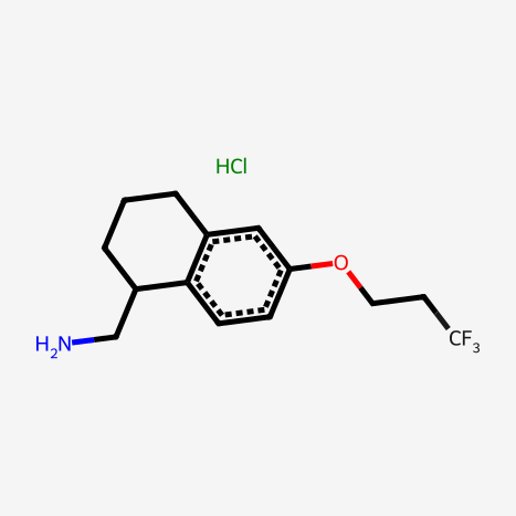 Cl.NCC1CCCc2cc(OCCC(F)(F)F)ccc21